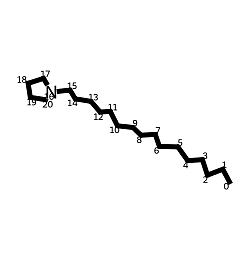 CCCCCCCCCCCCCCCCN1CCCC1